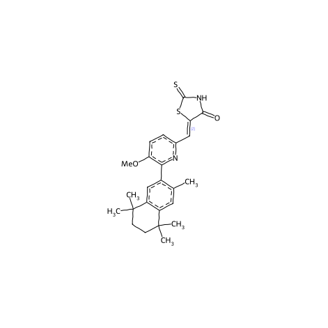 COc1ccc(/C=C2\SC(=S)NC2=O)nc1-c1cc2c(cc1C)C(C)(C)CCC2(C)C